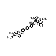 COC(=O)N[C@H](C(=O)N1CCC[C@H]1c1nc2cc(-c3ccc(-c4ccc5nc([C@@H]6C[Si](C)(C)CN6C(=O)[C@@H](NC(=O)OC)C6CCOCC6)[nH]c5c4)cc3)ccc2[nH]1)C(C)C